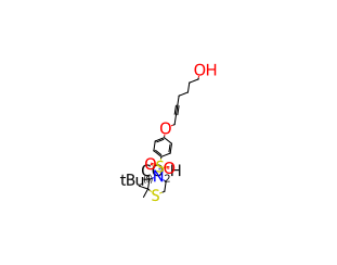 CC(C)(C)[C@@]1(C(=O)O)N(S(=O)(=O)c2ccc(OCC#CCCCCO)cc2)CCSC1(C)C